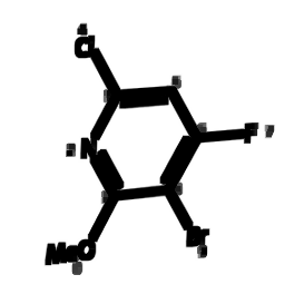 COc1nc(Cl)cc(F)c1Br